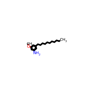 CCCCCCCCCCCc1cc(N)cc(OC)c1